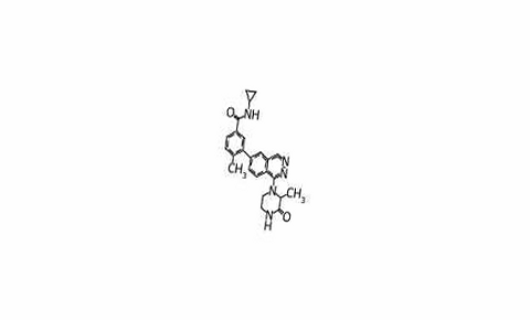 Cc1ccc(C(=O)NC2CC2)cc1-c1ccc2c(N3CCNC(=O)C3C)nncc2c1